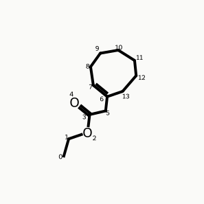 CCOC(=O)CC1=CCCCCCC1